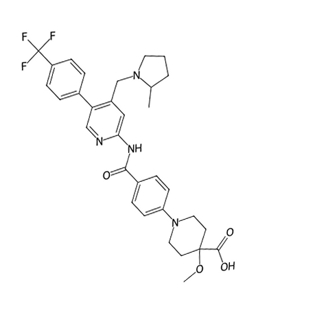 COC1(C(=O)O)CCN(c2ccc(C(=O)Nc3cc(CN4CCCC4C)c(-c4ccc(C(F)(F)F)cc4)cn3)cc2)CC1